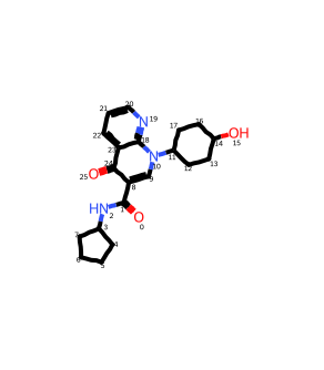 O=C(NC1CCCC1)c1cn(C2CCC(O)CC2)c2ncccc2c1=O